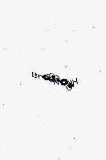 CC(=O)Nc1ccc(C2=N/C(=C/c3cc(Br)cs3)C(=O)O2)cc1